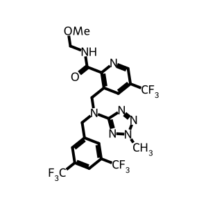 COCNC(=O)c1ncc(C(F)(F)F)cc1CN(Cc1cc(C(F)(F)F)cc(C(F)(F)F)c1)c1nnn(C)n1